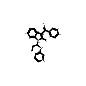 CCC(Sc1cccnc1)n1c(C)c(C(=O)c2ccccc2)c2ccccc21